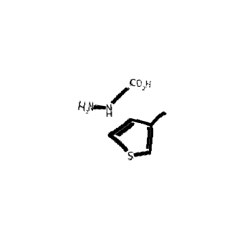 Cc1ccsc1.NNC(=O)O